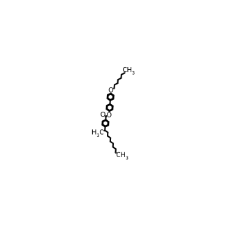 CCCCCCCCCC(C)c1ccc(C(=O)Oc2ccc(-c3ccc(OCCCCCCCC)cc3)cc2)cc1